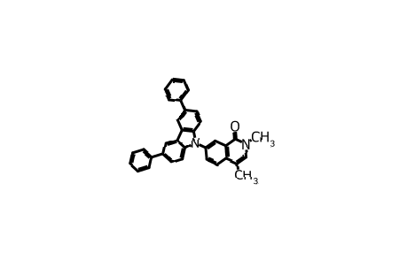 Cc1cn(C)c(=O)c2cc(-n3c4ccc(-c5ccccc5)cc4c4cc(-c5ccccc5)ccc43)ccc12